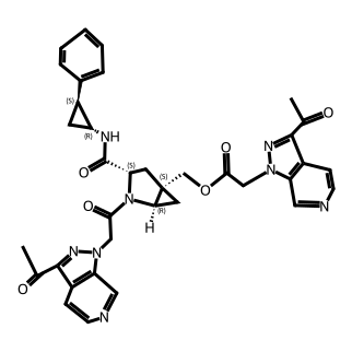 CC(=O)c1nn(CC(=O)OC[C@@]23C[C@@H](C(=O)N[C@@H]4C[C@H]4c4ccccc4)N(C(=O)Cn4nc(C(C)=O)c5ccncc54)[C@@H]2C3)c2cnccc12